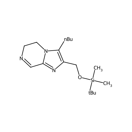 CCCCc1c(CO[Si](C)(C)C(C)(C)C)nc2n1CCN=C2